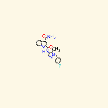 Cc1c(NC(=O)c2cc(C(N)=O)c3ccccc3n2)cnn1Cc1ccc(F)cc1